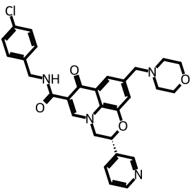 O=C(NCc1ccc(Cl)cc1)c1cn2c3c(cc(CN4CCOCC4)cc3c1=O)O[C@H](c1cccnc1)C2